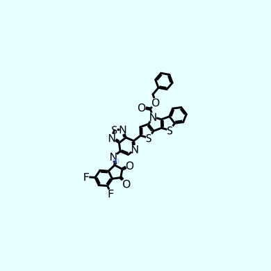 O=C(OCc1ccccc1)n1c2cc(-c3ncc(/N=c4\c(=O)c(=O)c5c(F)cc(F)cc45)c4nsnc34)sc2c2sc3ccccc3c21